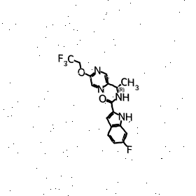 C[C@@H](NC(=O)c1cc2ccc(F)cc2[nH]1)c1cnc(OCC(F)(F)F)cn1